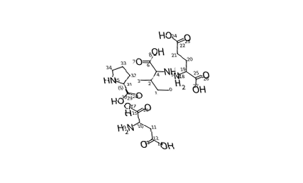 CCC(C)C(N)C(=O)O.NC(CC(=O)O)C(=O)O.NC(CCC(=O)O)C(=O)O.O=C(O)[C@@H]1CCCN1